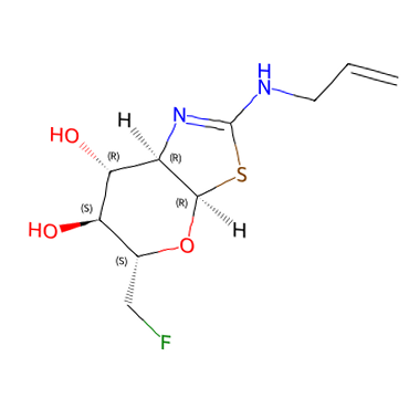 C=CCNC1=N[C@@H]2[C@@H](O)[C@H](O)[C@@H](CF)O[C@@H]2S1